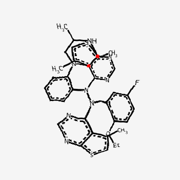 CCOc1ccc(F)cc1N(c1ncnc2scc(C)c12)N(c1ccccc1N1CC(C)NC(C)C1)c1ncnc2scc(C)c12